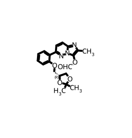 Cc1nc2ccc(-c3ccccc3OC[C@@H]3COC(C)(C)O3)nn2c1OC=O